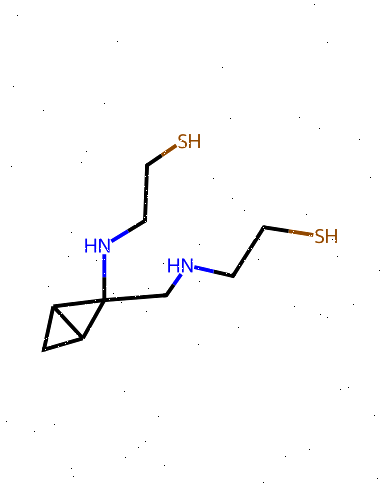 SCCNCC1(NCCS)C2CC21